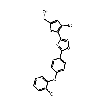 CCc1cc(CO)sc1-c1noc(-c2ccc(Oc3ccccc3Cl)cc2)n1